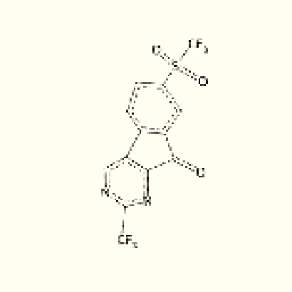 O=C1c2cc(S(=O)(=O)C(F)(F)F)ccc2-c2cnc(C(F)(F)F)nc21